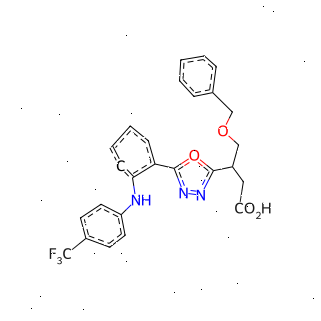 O=C(O)CC(COCc1ccccc1)c1nnc(-c2ccccc2Nc2ccc(C(F)(F)F)cc2)o1